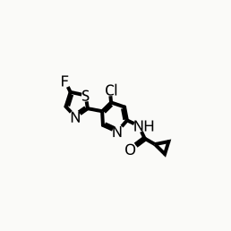 O=C(Nc1cc(Cl)c(-c2ncc(F)s2)cn1)C1CC1